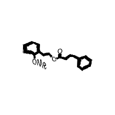 COc1ccccc1CCOC(=O)/C=C/c1ccccc1